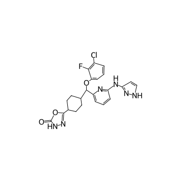 O=c1[nH]nc(C2CCC(C(Oc3cccc(Cl)c3F)c3cccc(Nc4cc[nH]n4)n3)CC2)o1